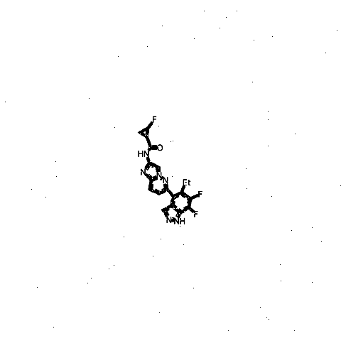 CCc1c(F)c(F)c2[nH]ncc2c1-c1ccc2nc(NC(=O)C3CC3F)cn2n1